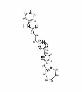 O=C(Nc1ccccc1)OCCc1noc(-c2ccc(CN3CCCCCC3)s2)n1